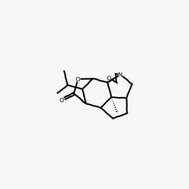 CC(C)C1C2C(=O)OC1[C@@]13OCCN1CC1CCC2[C@]13C